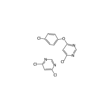 Clc1cc(Cl)ncn1.Clc1ccc(Oc2cc(Cl)ncn2)cc1